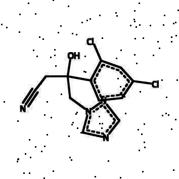 N#CCC(O)(Cn1cncn1)c1ccc(Cl)cc1Cl